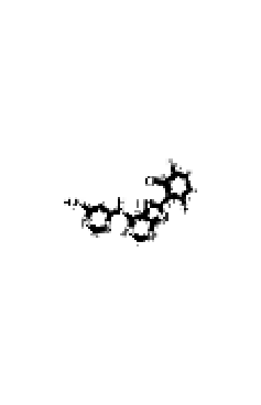 Nc1cc(Nc2ncnc3nc(-c4c(F)ccc(F)c4Cl)[nH]c23)ncn1